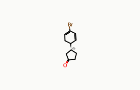 O=C1CC[C@H](C2C=CC(Br)=CC2)C1